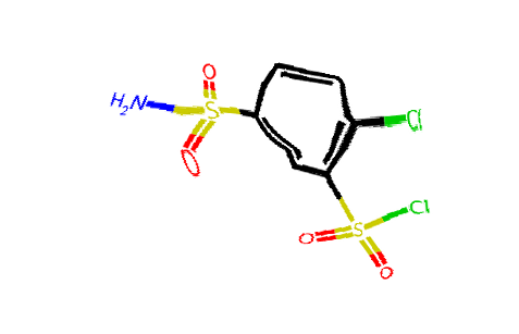 NS(=O)(=O)c1ccc(Cl)c(S(=O)(=O)Cl)c1